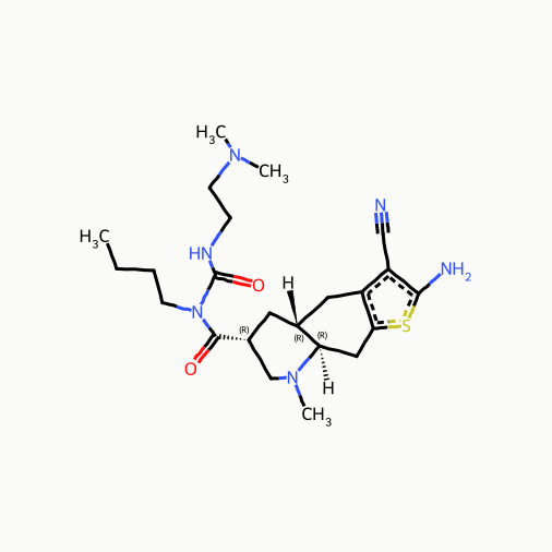 CCCCN(C(=O)NCCN(C)C)C(=O)[C@@H]1C[C@@H]2Cc3c(sc(N)c3C#N)C[C@H]2N(C)C1